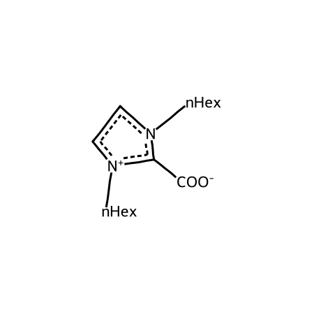 CCCCCCn1cc[n+](CCCCCC)c1C(=O)[O-]